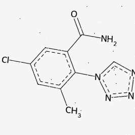 Cc1cc(Cl)cc(C(N)=O)c1-n1cnnn1